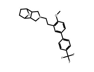 COc1ccc(-c2ccc(C(F)(F)F)cc2)cc1CCN1CC2C3CCC(O3)C2C1